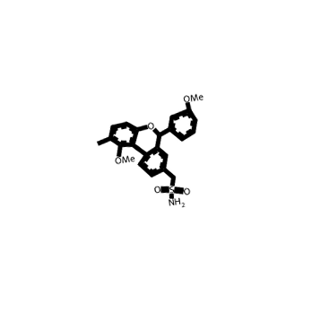 COc1cccc(C2Oc3ccc(C)c(OC)c3-c3ccc(CS(N)(=O)=O)cc32)c1